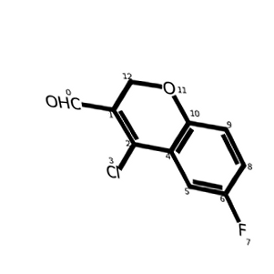 O=CC1=C(Cl)c2cc(F)ccc2OC1